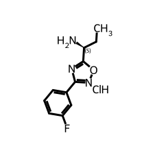 CC[C@H](N)c1nc(-c2cccc(F)c2)no1.Cl